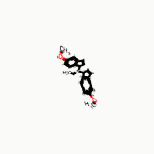 C[CH]=[Ti]([CH]1C=Cc2cc(OC)ccc21)[CH]1C=Cc2cc(OC)ccc21